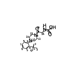 CC(C)(C)c1ccccc1N1CCN(C(=O)CNC(=O)O)CC1